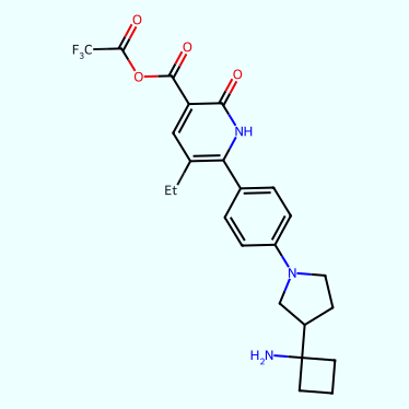 CCc1cc(C(=O)OC(=O)C(F)(F)F)c(=O)[nH]c1-c1ccc(N2CCC(C3(N)CCC3)C2)cc1